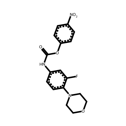 O=C(Nc1ccc(N2CCOCC2)c(F)c1)Oc1ccc([N+](=O)[O-])cc1